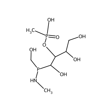 CNP(CO)C(O)C(OP(C)(=O)O)C(O)CO